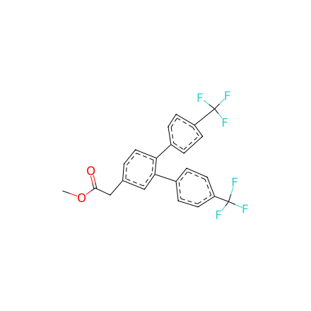 COC(=O)Cc1ccc(-c2ccc(C(F)(F)F)cc2)c(-c2ccc(C(F)(F)F)cc2)c1